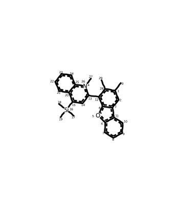 Cc1cc2c(oc3ccccc32)c(-c2cc([Si](C)(C)C)c3ccccc3[n+]2C)c1C